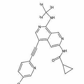 [2H]C([2H])([2H])Nc1ncc(C#Cc2ccc(OC)cn2)c2cc(NC(=O)C3CC3)ncc12